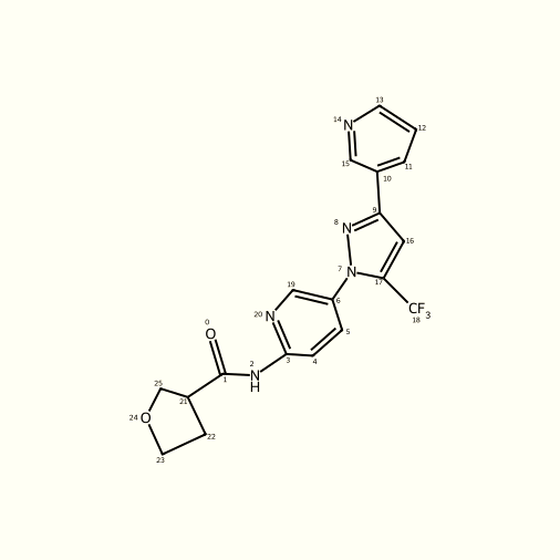 O=C(Nc1ccc(-n2nc(-c3cccnc3)cc2C(F)(F)F)cn1)C1CCOC1